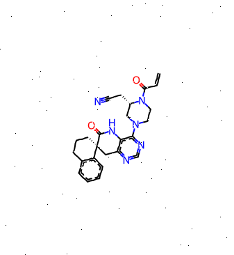 C=CC(=O)N1CCN(c2ncnc3c2NC(=O)[C@@]2(CCCc4ccccc42)C3)C[C@@H]1CC#N